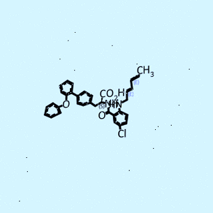 C/C=C/C=C/CNc1ccc(Cl)cc1C(=O)N[C@@H](Cc1ccc(-c2ccccc2Oc2ccccc2)cc1)C(=O)O